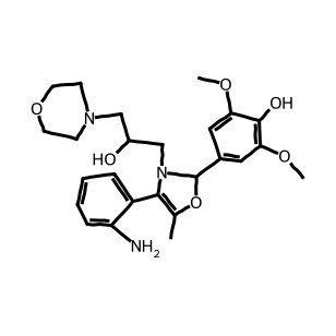 COc1cc(C2OC(C)=C(c3ccccc3N)N2CC(O)CN2CCOCC2)cc(OC)c1O